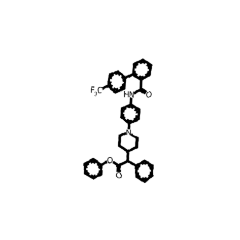 O=C(Nc1ccc(N2CCC(C(C(=O)Oc3ccccc3)c3ccccc3)CC2)cc1)c1ccccc1-c1ccc(C(F)(F)F)cc1